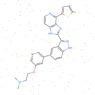 CN(C)CCOc1cncc(-c2ccc3[nH]nc(-c4nc5c(-c6ccc(F)s6)nccc5[nH]4)c3c2)c1